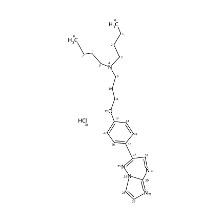 CCCCN(CCCC)CCCOc1ccc(-c2cnc3nccn3n2)cc1.Cl